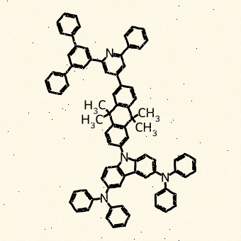 CC1(C)c2ccc(-n3c4ccc(N(c5ccccc5)c5ccccc5)cc4c4cc(N(c5ccccc5)c5ccccc5)ccc43)cc2C(C)(C)c2ccc(-c3cc(-c4ccccc4)nc(-c4cc(-c5ccccc5)cc(-c5ccccc5)c4)c3)cc21